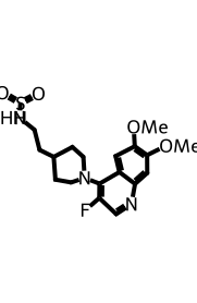 COc1cc2ncc(F)c(N3CCC(CCN[SH](=O)=O)CC3)c2cc1OC